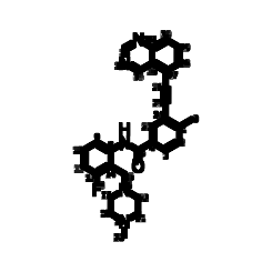 Cc1ccc(C(=O)Nc2cccc(F)c2CN2CCN(C)CC2)cc1C#Cc1cccc2ncncc12